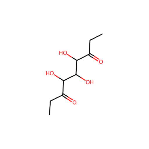 CCC(=O)C(O)C(O)C(O)C(=O)CC